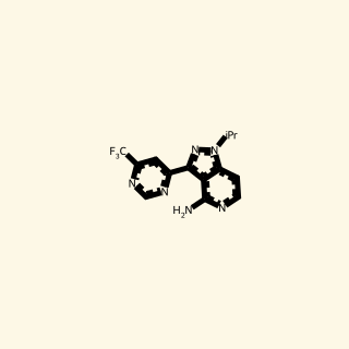 CC(C)n1nc(-c2cc(C(F)(F)F)ncn2)c2c(N)nccc21